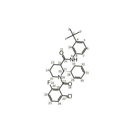 CC(C)(C)c1cccc(NC(=O)C2CCCN(C(=O)c3c(F)cccc3Cl)[C@H]2C2C=CC=CC2)c1